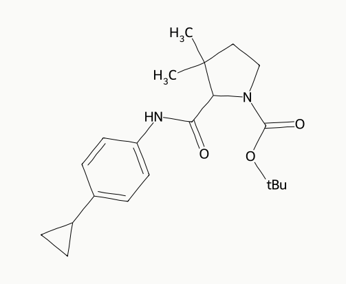 CC(C)(C)OC(=O)N1CCC(C)(C)C1C(=O)Nc1ccc(C2CC2)cc1